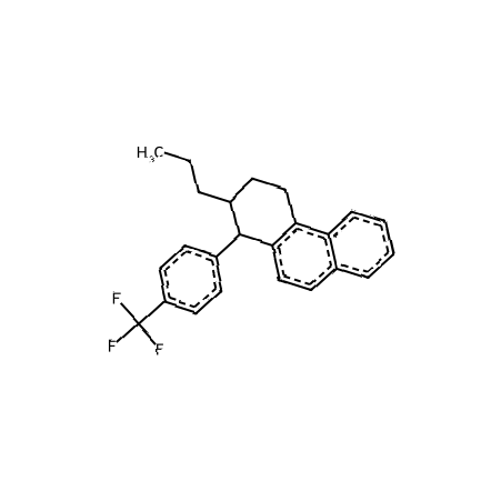 CCCC1CCc2c(ccc3ccccc23)C1c1ccc(C(F)(F)F)cc1